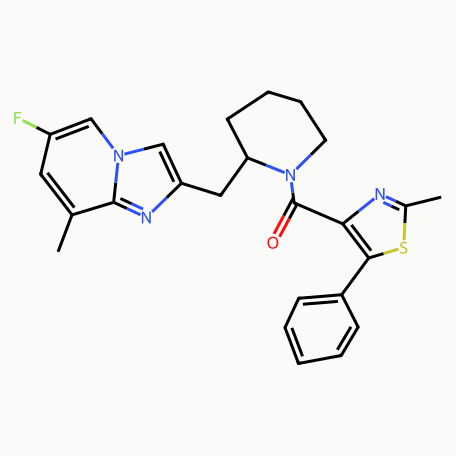 Cc1nc(C(=O)N2CCCCC2Cc2cn3cc(F)cc(C)c3n2)c(-c2ccccc2)s1